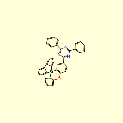 c1ccc(-c2nc(-c3ccccc3)nc(-c3ccc4c(c3)[Si]3(c5ccccc5O4)c4ccccc4-c4ccccc43)n2)cc1